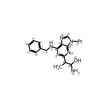 CC(c1nc(NCc2ccccc2)c2ncn(C(C)C)c2n1)C(N)O